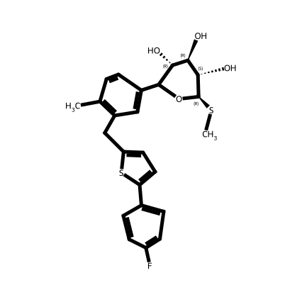 CS[C@H]1OC(c2ccc(C)c(Cc3ccc(-c4ccc(F)cc4)s3)c2)[C@H](O)[C@@H](O)[C@@H]1O